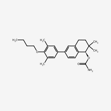 CCCCOc1c(C)cc(-c2ccc3c(c2)CCC(C)(C)[C@H]3OC(N)=O)cc1C